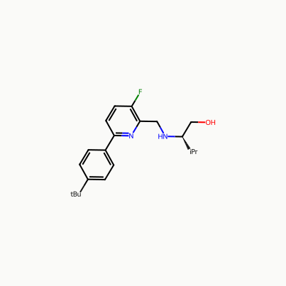 CC(C)[C@H](CO)NCc1nc(-c2ccc(C(C)(C)C)cc2)ccc1F